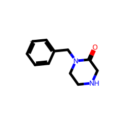 O=C1CNCCN1Cc1c[c]ccc1